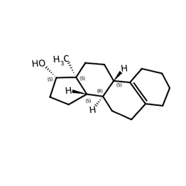 C[C@]12CC[C@@H]3C4=C(CCCC4)CC[C@H]3[C@@H]1CC[C@@H]2O